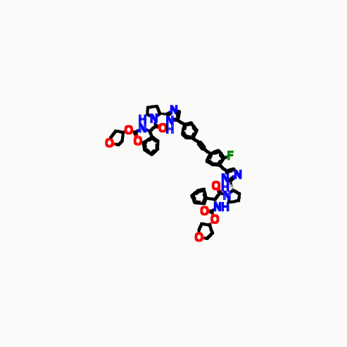 O=C(N[C@@H](C(=O)N1CCC[C@H]1c1ncc(-c2ccc(C#Cc3ccc(-c4cnc([C@@H]5CCCN5C(=O)[C@H](NC(=O)OC5CCOCC5)c5ccccc5)[nH]4)c(F)c3)cc2)[nH]1)c1ccccc1)OC1CCOCC1